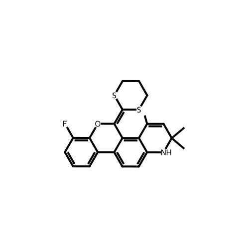 CC1=CC(C)(C)Nc2ccc3c(c21)C(=C1SCCCS1)Oc1c(F)cccc1-3